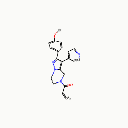 C=CC(=O)N1CCn2nc(-c3ccc(OCC)cc3)c(-c3ccncc3)c2C1